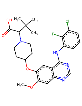 COc1cc2ncnc(Nc3cccc(Cl)c3F)c2cc1OC1CCN(C(C(=O)O)C(C)(C)C)CC1